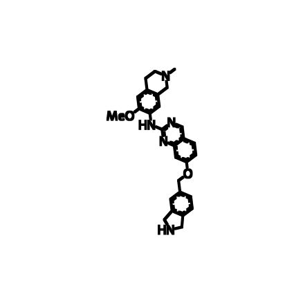 COc1cc2c(cc1Nc1ncc3ccc(OCc4ccc5c(c4)CNC5)cc3n1)CN(C)CC2